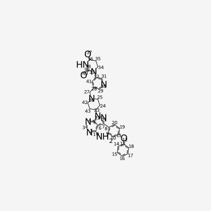 Nc1ncnc2c1c(-c1ccc(Oc3ccccc3)cc1)nn2C1CCN(Cc2cncc(N3CCC(=O)NC3=O)c2)CC1